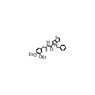 CCOc1ccc(CC(F)NC(=O)c2cc3sccc3n2Cc2ccccc2)cc1OCC